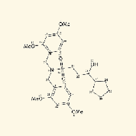 COc1ccc(CN(Cc2ccc(OC)cc2OC)S(=O)(=O)CCC(O)C2CCCC2)c(OC)c1